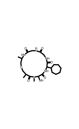 CCCC1C(=O)NC(C2CCCCCC2)C(=O)NCC(=O)NCC(=O)NC(C)COCC(C)C(=O)N1C